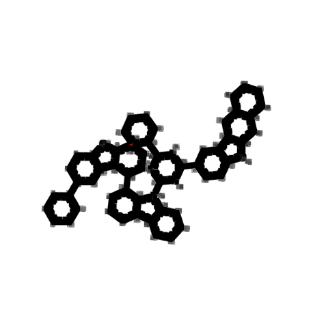 c1ccc(-c2ccc3oc4cccc(-c5cccc6c7ccccc7n(-c7nc(-c8ccccc8)nc(-c8ccc9oc%10cc%11ccccc%11cc%10c9c8)n7)c56)c4c3c2)cc1